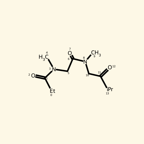 CCC(=O)N(C)CC(=O)N(C)CC(=O)C(C)C